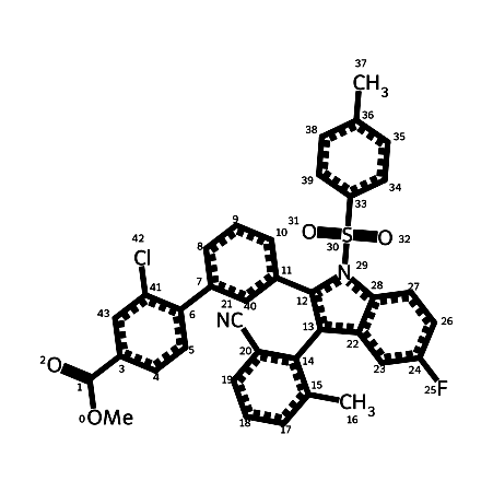 COC(=O)c1ccc(-c2cccc(-c3c(-c4c(C)cccc4C#N)c4cc(F)ccc4n3S(=O)(=O)c3ccc(C)cc3)c2)c(Cl)c1